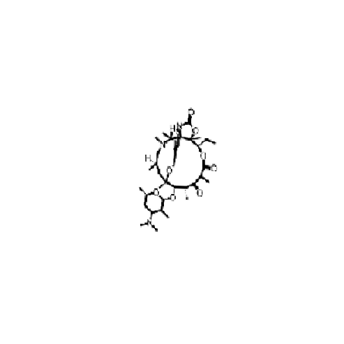 CC[C@H]1OC(=O)C(C)C(=O)[C@H](C)[C@@H](O[C@@H]2O[C@H](C)CC(N(C)C)C2C)[C@]2(C)C[C@@H](C)CN(C)[C@H](C)[C@H]3N(C/C=C\CO2)C(=O)O[C@]13C